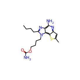 CCCCc1nc2c(N)nc3cc(C)sc3c2n1CCCCOC(N)=O